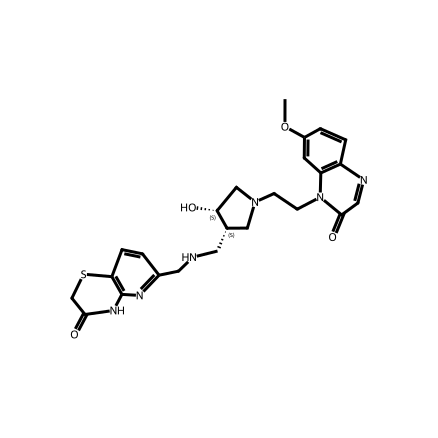 COc1ccc2ncc(=O)n(CCN3C[C@H](CNCc4ccc5c(n4)NC(=O)CS5)[C@H](O)C3)c2c1